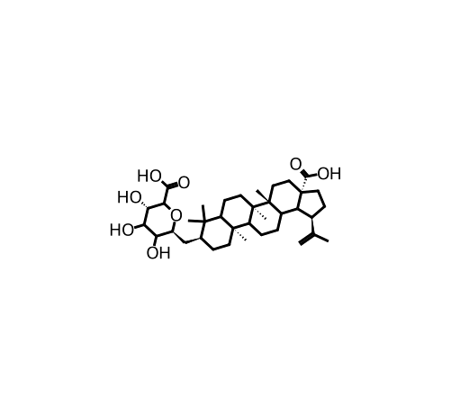 C=C(C)[C@@H]1CC[C@]2(C(=O)O)CC[C@]3(C)C(CCC4[C@@]5(C)CC[C@@H](C[C@@H]6OC(C(=O)O)[C@@H](O)C(O)C6O)C(C)(C)C5CC[C@]43C)C12